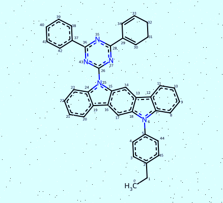 CCc1ccc(-n2c3ccccc3c3cc4c(cc32)c2ccccc2n4-c2nc(C3=CCCC=C3)nc(-c3ccccc3)n2)cc1